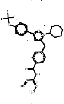 N=N/C(=N\N)NC(=O)c1ccc(Cc2cc(-c3ccc(OC(F)(F)F)cc3)nn2C2CCCCC2)cc1